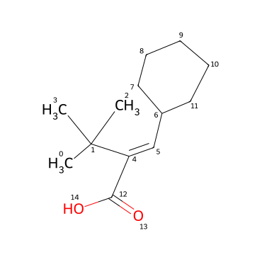 CC(C)(C)/C(=C\C1CCCCC1)C(=O)O